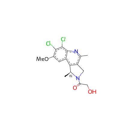 COc1cc2c3c(c(C)nc2c(Cl)c1Cl)CN(C(=O)CO)[C@H]3C